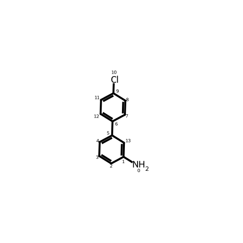 Nc1cccc(-c2ccc(Cl)cc2)c1